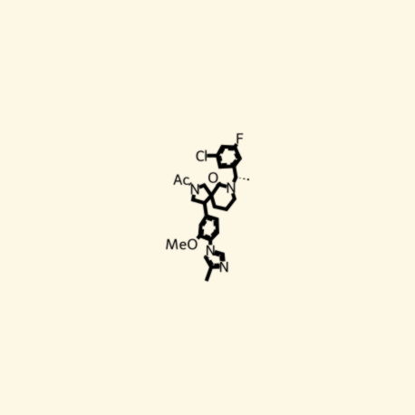 COc1cc(C2CN(C(C)=O)CC23CCCN([C@@H](C)c2cc(F)cc(Cl)c2)C3=O)ccc1-n1cnc(C)c1